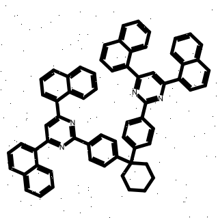 c1ccc2c(-c3cc(-c4cccc5ccccc45)nc(-c4ccc(C5(c6ccc(-c7nc(-c8cccc9ccccc89)cc(-c8cccc9ccccc89)n7)cc6)CCCCC5)cc4)n3)cccc2c1